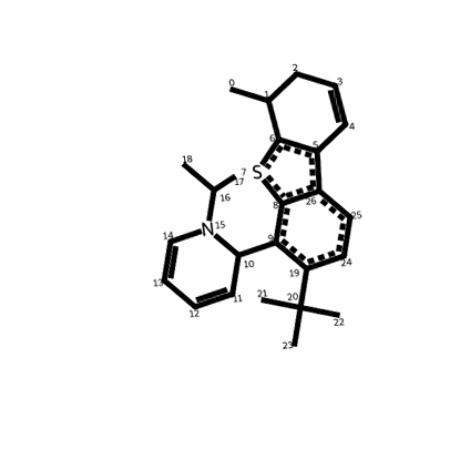 CC1CC=Cc2c1sc1c(C3C=CC=CN3C(C)C)c(C(C)(C)C)ccc21